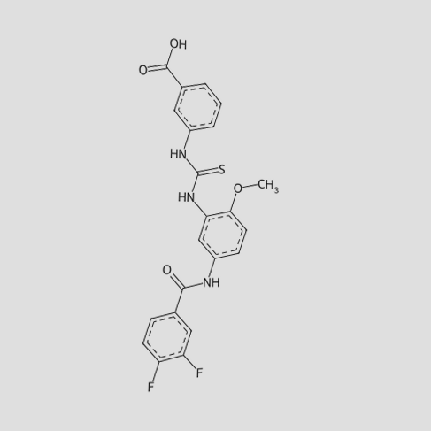 COc1ccc(NC(=O)c2ccc(F)c(F)c2)cc1NC(=S)Nc1cccc(C(=O)O)c1